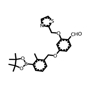 Cc1c(COc2ccc(C=O)c(OCc3nccs3)c2)cccc1B1OC(C)(C)C(C)(C)O1